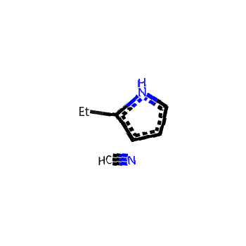 C#N.CCc1ccc[nH]1